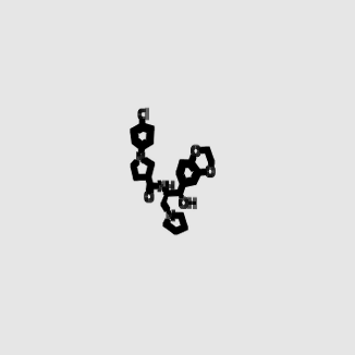 O=C(N[C@H](CN1CCCC1)[C@H](O)c1ccc2c(c1)OCCO2)C1CCN(c2ccc(Cl)cc2)C1